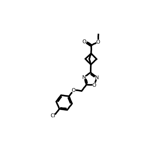 COC(=O)C12CC(c3noc(COc4ccc(Cl)cc4)n3)(C1)C2